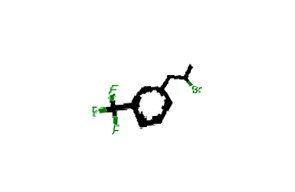 CC(Br)Cc1cccc(C(F)(F)F)c1